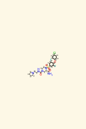 NC(=O)[C@H]1CN(C(=O)NCCN2CCCC2)CCN1S(=O)(=O)c1cc(F)c(Oc2ccc(Cl)cc2)c(F)c1